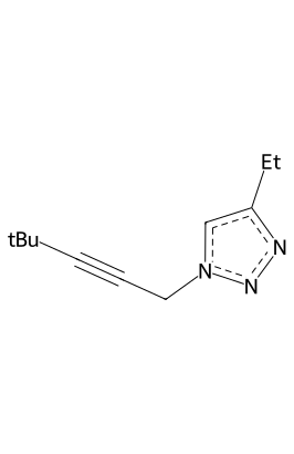 CCc1cn(CC#CC(C)(C)C)nn1